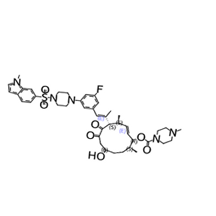 C/C(=C\c1cc(F)cc(N2CCN(S(=O)(=O)c3ccc4ccn(C)c4c3)CC2)c1)[C@H]1C(=O)C(=O)C[C@H](O)CC[C@H](C)[C@@H](OC(=O)N2CCN(C)CC2)/C=C/[C@@H]1C